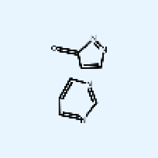 O=C1C=CN=N1.c1cncnc1